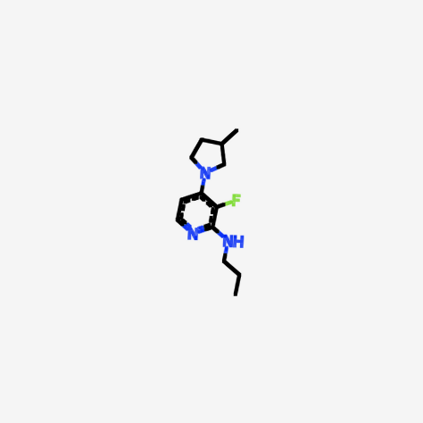 CCCNc1nccc(N2CCC(C)C2)c1F